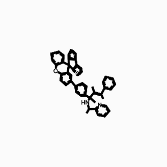 C/C(=C(/C)C(C)(NC(C)c1ccccn1)c1ccc(-c2ccc3c(c2)C2(c4ccccc4O3)c3ccccc3-c3ccccc32)cc1)c1ccccc1